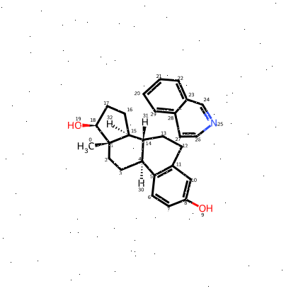 C[C@]12CC[C@@H]3c4ccc(O)cc4CC[C@H]3[C@@H]1CC[C@@H]2O.c1ccc2cnccc2c1